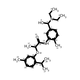 CCN(CC)C(O)c1ccc(C)c(NC(=O)C(C)Oc2cc(C)ccc2C(C)C)c1